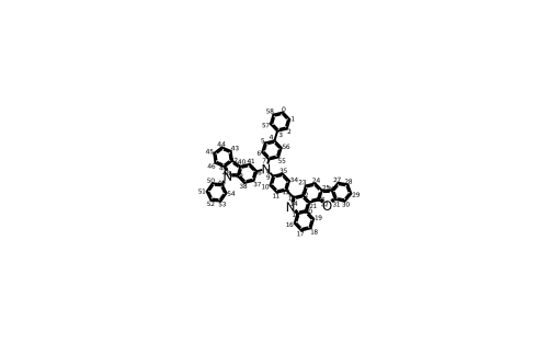 c1ccc(-c2ccc(N(c3ccc(-c4nc5ccccc5c5c4ccc4c6ccccc6oc45)cc3)c3ccc4c(c3)c3ccccc3n4-c3ccccc3)cc2)cc1